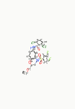 CCOCC1CN(S(=O)(=O)c2ccc(F)c(F)c2)c2cc(NC(=O)c3c(Cl)cccc3Cl)ccc2O1